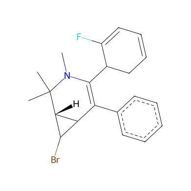 CN1C(C2CC=CC=C2F)=C(c2ccccc2)C2C(Br)[C@@H]2C1(C)C